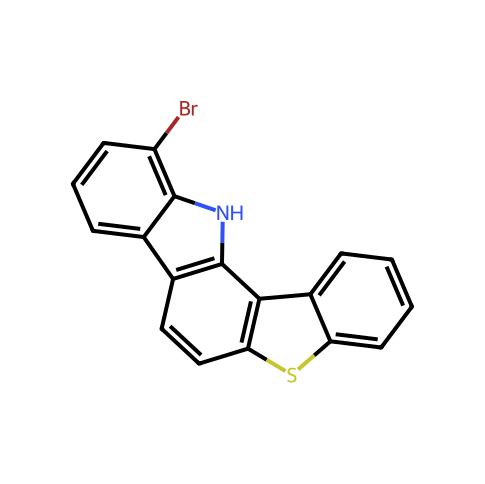 Brc1cccc2c1[nH]c1c2ccc2sc3ccccc3c21